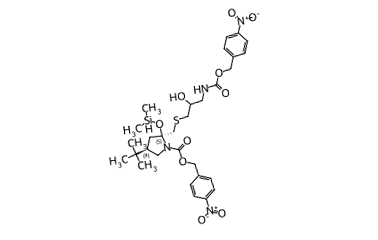 C[SiH](C)O[C@]1(CSCC(O)CNC(=O)OCc2ccc([N+](=O)[O-])cc2)C[C@H](C(C)(C)C)CN1C(=O)OCc1ccc([N+](=O)[O-])cc1